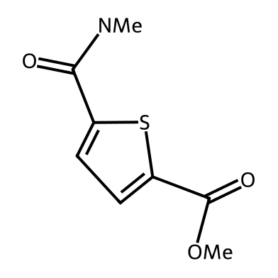 CNC(=O)c1ccc(C(=O)OC)s1